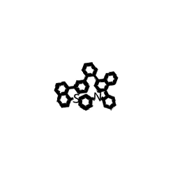 c1ccc(-n2c3ccccc3c3c4ccccc4c(-c4ccccc4-c4ccc5c(c4)-c4cccc6cccc(c46)S5)cc32)cc1